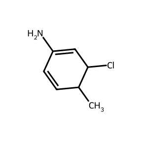 CC1C=CC(N)=CC1Cl